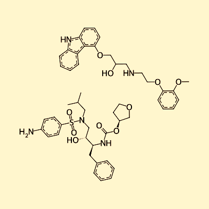 CC(C)CN(C[C@@H](O)[C@H](Cc1ccccc1)NC(=O)O[C@H]1CCOC1)S(=O)(=O)c1ccc(N)cc1.COc1ccccc1OCCNCC(O)COc1cccc2[nH]c3ccccc3c12